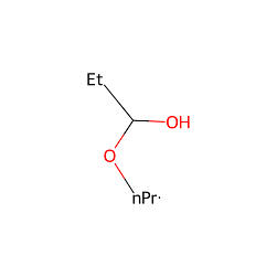 CC[CH]OC(O)CC